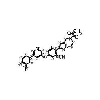 CS(=O)(=O)N1CCn2nc(-c3ccc(Oc4cncc(-c5ccc(F)c(F)c5)c4)cc3C#N)cc2C1